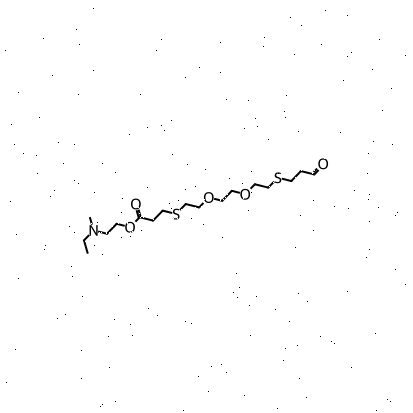 CCN(C)CCOC(=O)CCSCCOCCOCCSCCC=O